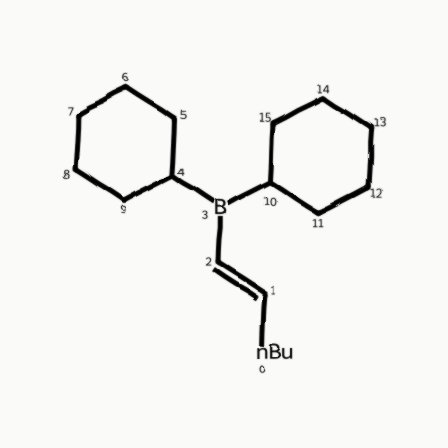 CCCCC=CB(C1CCCCC1)C1CCCCC1